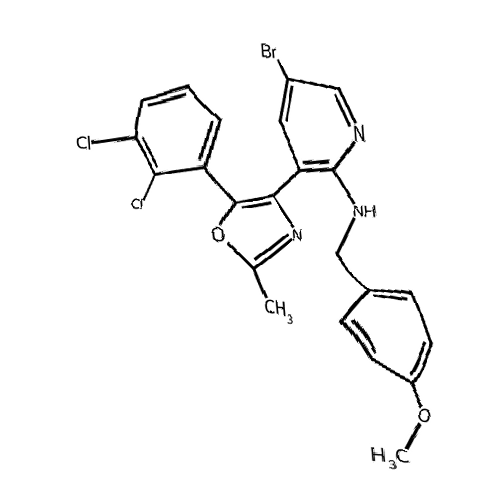 COc1ccc(CNc2ncc(Br)cc2-c2nc(C)oc2-c2cccc(Cl)c2Cl)cc1